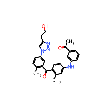 CC(=O)c1cccc(Nc2ccc(C(=O)c3cc(-n4cc(CCO)nn4)ccc3C)c(C)c2)c1